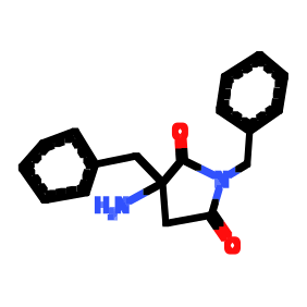 NC1(Cc2ccccc2)CC(=O)N(Cc2ccccc2)C1=O